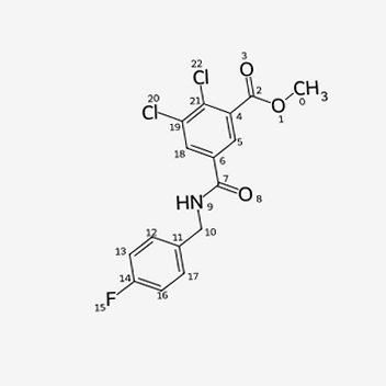 COC(=O)c1cc(C(=O)NCc2ccc(F)cc2)cc(Cl)c1Cl